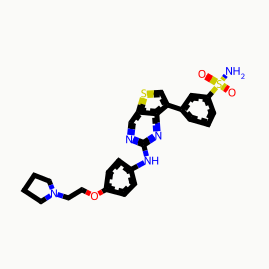 NS(=O)(=O)c1cccc(-c2csc3cnc(Nc4ccc(OCCN5CCCC5)cc4)nc23)c1